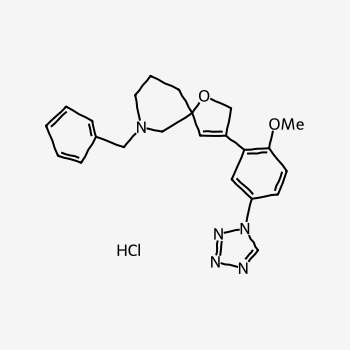 COc1ccc(-n2cnnn2)cc1C1=CC2(CCCN(Cc3ccccc3)C2)OC1.Cl